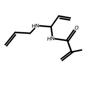 C=CCNC(C=C)NC(=O)C(=C)C